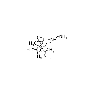 CC(C)O[Si](CCCNCCN)(OC(C)C)OC(C)C